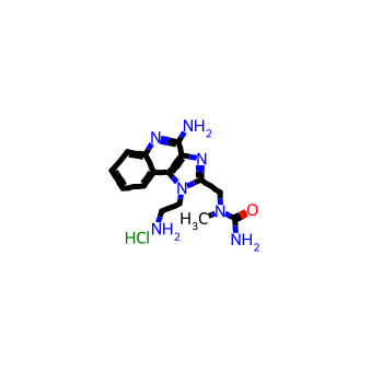 CN(Cc1nc2c(N)nc3ccccc3c2n1CCN)C(N)=O.Cl